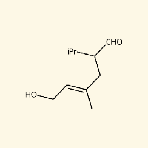 CC(=CCO)CC(C=O)C(C)C